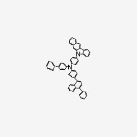 c1ccc(-c2ccc(N(c3ccc(-c4ccc(-c5ccccc5)c5ccccc45)cc3)c3ccc(-n4c5ccccc5c5cc6ccccc6cc54)cc3)cc2)cc1